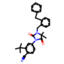 CC(C)(C)c1cc(N2C(=O)N(Cc3ccccc3Cc3ccccc3)C(C)(C)C2=O)ccc1C#N